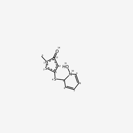 Cn1sc(SC2C=CC=CN2O)cc1=O